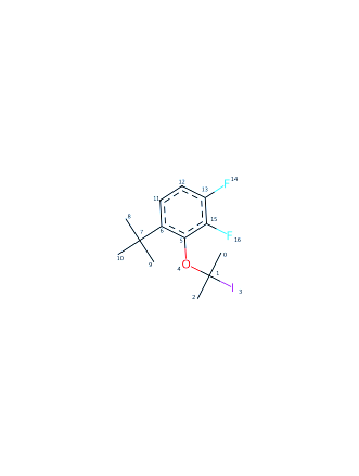 CC(C)(I)Oc1c(C(C)(C)C)ccc(F)c1F